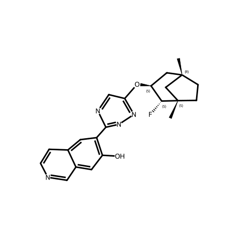 C[C@@]12CC[C@@](C)(C1)[C@H](F)[C@@H](Oc1cnc(-c3cc4ccncc4cc3O)nn1)C2